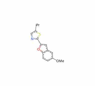 COc1ccc2oc(-c3ncc(C(C)C)s3)cc2c1